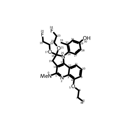 CNc1nc2c(OCCF)cccc2c2c1CC(OCCF)(OCCF)N2c1ccc(O)cc1C